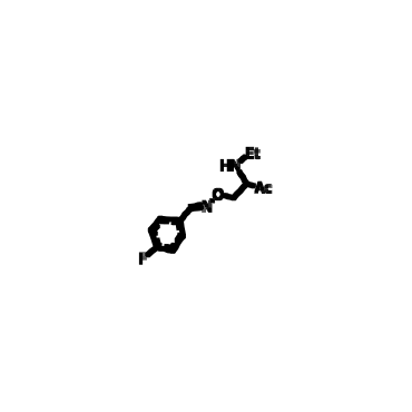 CCNC(CO/N=C/c1ccc(F)cc1)C(C)=O